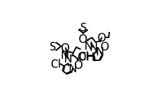 CCC1C(OC2CSC2)=NN(c2ncccc2Cl)C1C(=O)O.CCOC(=O)C1CC(OC2CSC2)=NN1c1ncccc1Cl